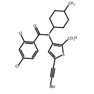 CC1CCC(N(C(=O)c2ccc(Cl)cc2Cl)c2cc(C#CC(C)(C)C)sc2C(=O)O)CC1